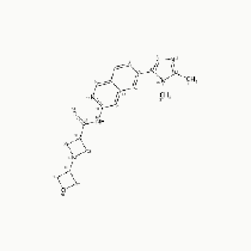 Cc1ncc(-c2ccc3cnc(NC(=O)C4CN(C5COC5)C4)cc3c2)n1C